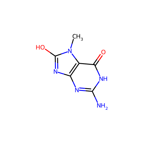 Cn1c(O)nc2nc(N)[nH]c(=O)c21